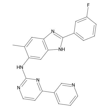 Cc1cc2nc(-c3cccc(F)c3)[nH]c2cc1Nc1nccc(-c2cccnc2)n1